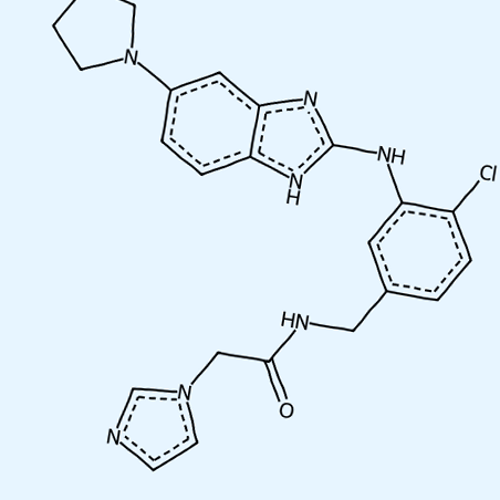 O=C(Cn1ccnc1)NCc1ccc(Cl)c(Nc2nc3cc(N4CCCC4)ccc3[nH]2)c1